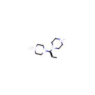 CC=C(N1CCNCC1)N1CCNCC1